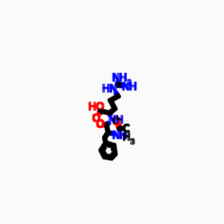 CC(=O)NC(Cc1ccccc1)C(=O)NC(CCCNC(=N)N)C(=O)O